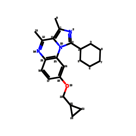 Cc1nc(C2CCCCC2)n2c1c(C)nc1ccc(OCC3CC3)cc12